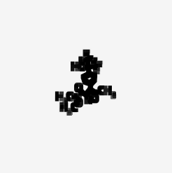 CON(C)C(=O)c1noc(C)c1-c1ccc(C(O)(C(F)(F)F)C(F)(F)F)cc1